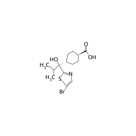 CC(C)C(O)(c1ncc(Br)s1)[C@H]1CC[C@H](C(=O)O)CC1